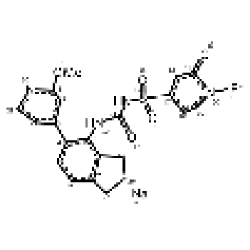 COc1cc(-c2ccc3c(c2NC(=O)NS(=O)(=O)c2ccn(C(C)C)c(=O)c2)CCC3)ccn1.[Na]